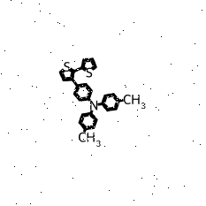 Cc1ccc(N(c2ccc(C)cc2)c2ccc(-c3ccsc3-c3cccs3)cc2)cc1